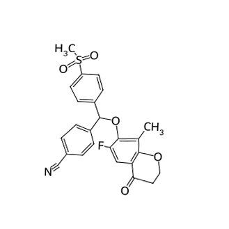 Cc1c(OC(c2ccc(C#N)cc2)c2ccc(S(C)(=O)=O)cc2)c(F)cc2c1OCCC2=O